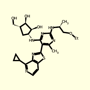 CCOC[C@@H](C)Nc1nc(C)c(-c2nc3c(C4CC4)nccc3s2)c(N[C@@H]2C[C@H](CO)[C@@H](O)[C@H]2O)n1